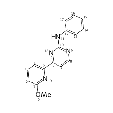 COc1cccc(-c2ccnc(Nc3ccccc3)n2)n1